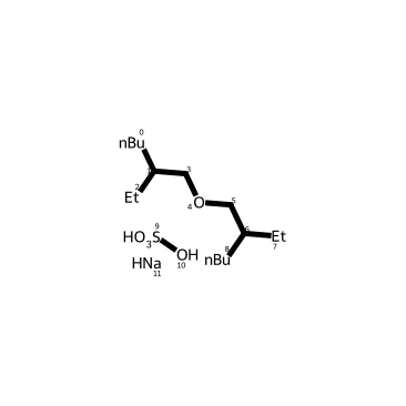 CCCCC(CC)COCC(CC)CCCC.O=S(=O)(O)O.[NaH]